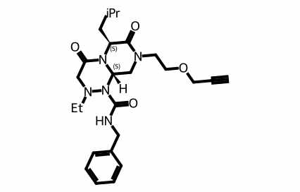 C#CCOCCN1C[C@H]2N(C(=O)CN(CC)N2C(=O)NCc2ccccc2)[C@@H](CC(C)C)C1=O